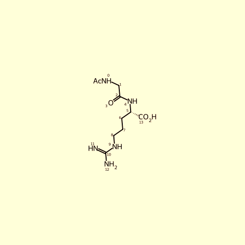 CC(=O)NCC(=O)N[C@@H](CCCNC(=N)N)C(=O)O